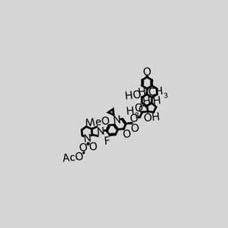 COc1c(N2CC3CCCN(C(=O)OCOC(C)=O)C3C2)c(F)cc2c(=O)c(C(=O)OCC(=O)[C@]3(O)CC[C@@H]4[C@H]5CCC6=CC(=O)C=C[C@@]6(C)[C@@H]5[C@H](O)C[C@]43C)cn(C3CC3)c12